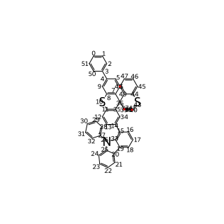 c1ccc(-c2ccc3c(c2)Sc2ccc(-c4cccc5c6ccccc6n(-c6ccccc6)c45)cc2C32c3ccccc3Sc3ccccc32)cc1